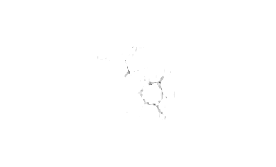 Cc1cn(OC(=O)[C@H](C)N)c(=O)[nH]c1=O